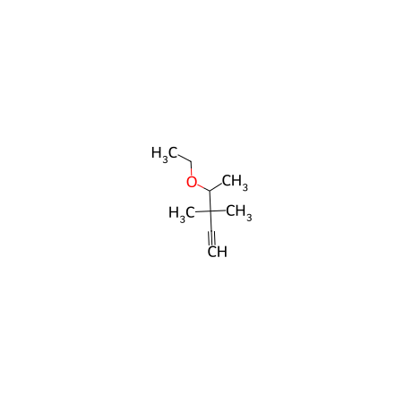 C#CC(C)(C)C(C)OCC